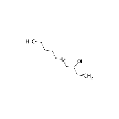 C=CC(O)COCCCCC